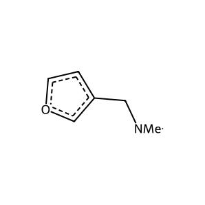 C[N]Cc1ccoc1